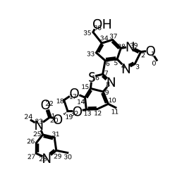 COc1cnc2c(-c3nc4c(C)cc5c(c4s3)OC[C@@H](OC(=O)N(C)c3ccnc(C)c3)O5)cc(CO)cc2n1